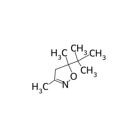 CC1=NOC(C)(C(C)(C)C)C1